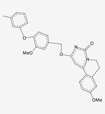 COc1ccc2c(c1)CCn1c-2cc(OCc2ccc(Oc3cccc(C)c3)c(OC)c2)nc1=O